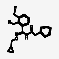 O=C(Cc1ccccc1)N/C(=N\OCC1CC1)c1cccc(CF)c1CF